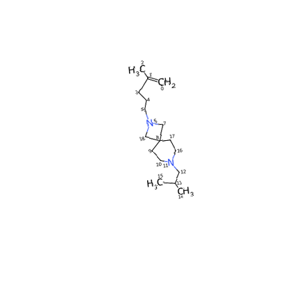 C=C(C)CCCN1CC2(CCN(CC(C)C)CC2)C1